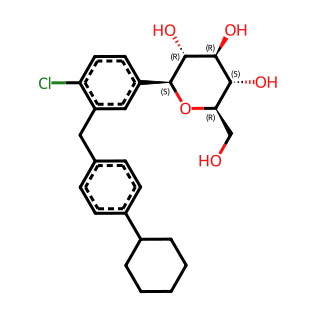 OC[C@H]1O[C@@H](c2ccc(Cl)c(Cc3ccc(C4CCCCC4)cc3)c2)[C@H](O)[C@@H](O)[C@@H]1O